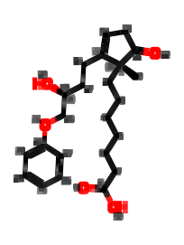 C[C@]1(CCCCCCC(=O)O)C(=O)CC=C1CC[C@H](O)COc1ccccc1